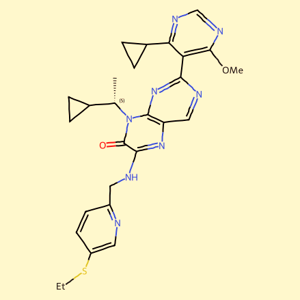 CCSc1ccc(CNc2nc3cnc(-c4c(OC)ncnc4C4CC4)nc3n([C@@H](C)C3CC3)c2=O)nc1